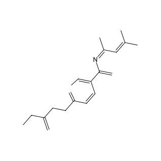 C=C(/C=C\C(=C/C)C(=C)/N=C(/C)C=C(C)C)CCC(=C)CC